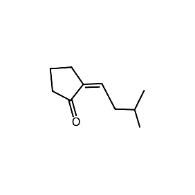 CC(C)CC=C1CCCC1=O